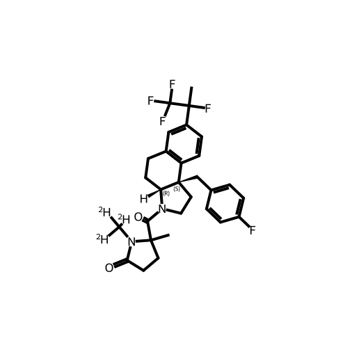 [2H]C([2H])([2H])N1C(=O)CCC1(C)C(=O)N1CC[C@@]2(Cc3ccc(F)cc3)c3ccc(C(C)(F)C(F)(F)F)cc3CC[C@@H]12